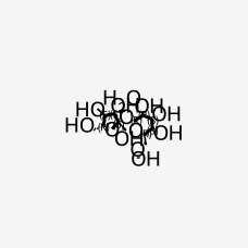 O.OC[C@H]1O[C@@](CO)(O[C@H]2O[C@H](COO)[C@@H](O)[C@H](O)[C@H]2O)[C@@H](O)[C@@H]1O